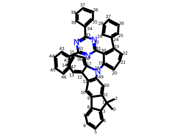 CC1(C)c2ccccc2-c2cc3c4ccccc4n(-c4cccc(-c5ccccc5)c4-c4nc(-c5ccccc5)nc(-c5ccccc5)n4)c3cc21